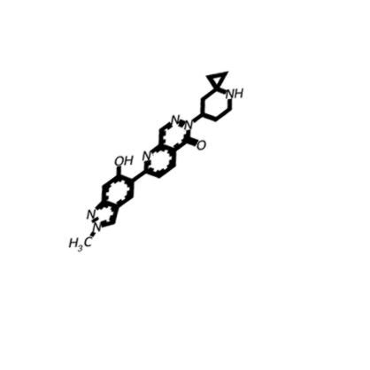 Cn1cc2cc(-c3ccc4c(=O)n(C5CCNC6(CC6)C5)ncc4n3)c(O)cc2n1